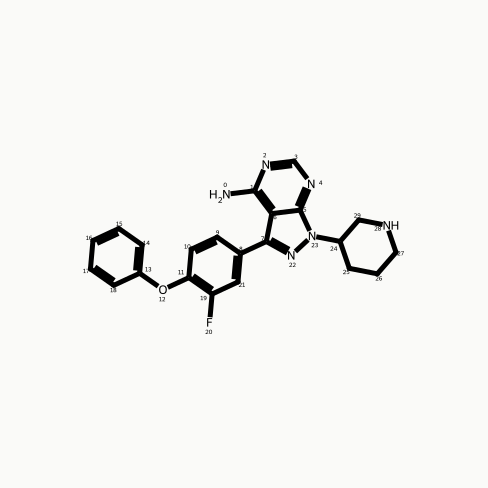 Nc1ncnc2c1c(-c1ccc(Oc3ccccc3)c(F)c1)nn2C1CCCNC1